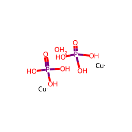 O.O=P(O)(O)O.O=P(O)(O)O.[Cu].[Cu]